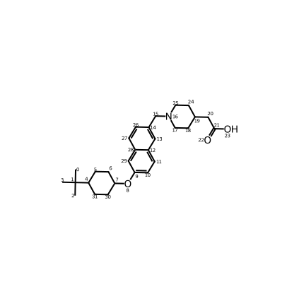 CC(C)(C)C1CCC(Oc2ccc3cc(CN4CCC(CC(=O)O)CC4)ccc3c2)CC1